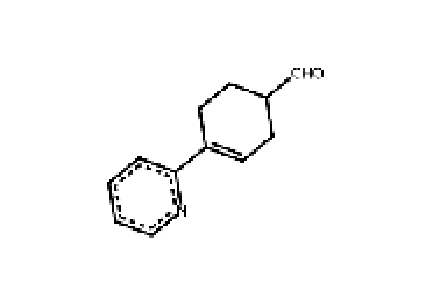 O=CC1CC=C(c2ccccn2)CC1